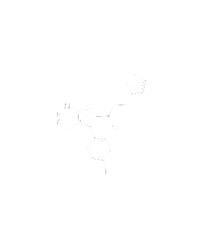 O=C(CCC1=CCC=C1)c1sc2ncccc2c1-c1ccc(F)cc1